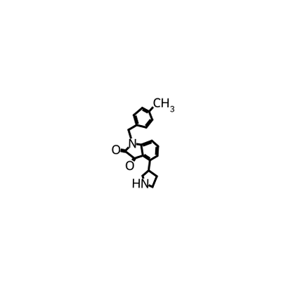 Cc1ccc(CN2C(=O)C(=O)c3c(C4CCNC4)cccc32)cc1